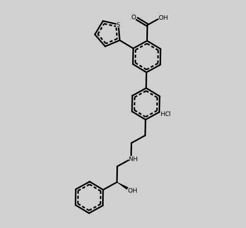 Cl.O=C(O)c1ccc(-c2ccc(CCNC[C@@H](O)c3ccccc3)cc2)cc1-c1cccs1